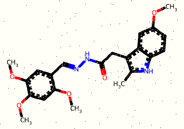 COc1ccc2[nH]c(C)c(CC(=O)NN=Cc3cc(OC)c(OC)cc3OC)c2c1